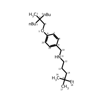 CCCCC(C)(CCCC)COc1ccc(CNCCCC(C)(C)CC)cc1